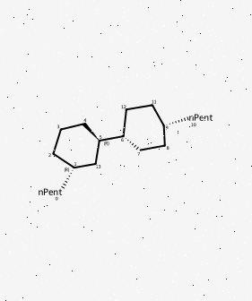 CCCCC[C@@H]1CCC[C@@H]([C@H]2CC[C@@H](CCCCC)CC2)C1